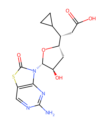 Nc1ncc2sc(=O)n([C@@H]3O[C@H]([C@@H](CC(=O)O)C4CC4)C[C@H]3O)c2n1